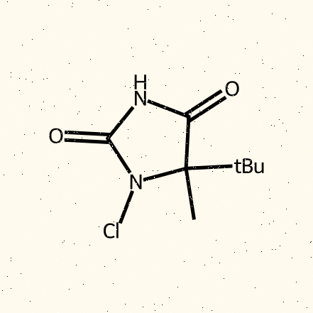 CC(C)(C)C1(C)C(=O)NC(=O)N1Cl